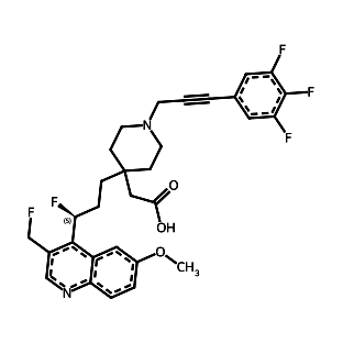 COc1ccc2ncc(CF)c([C@@H](F)CCC3(CC(=O)O)CCN(CC#Cc4cc(F)c(F)c(F)c4)CC3)c2c1